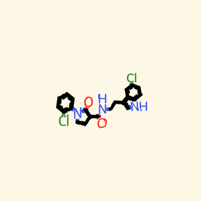 O=C(NCCc1c[nH]c2ccc(Cl)cc12)C1CCN(c2ccccc2Cl)C1=O